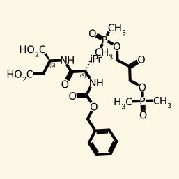 CC(C)[C@H](NC(=O)OCc1ccccc1)C(=O)N[C@@H](CC(=O)O)C(=O)O.CP(C)(=O)OCC(=O)COP(C)(C)=O